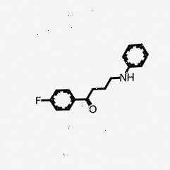 O=C(CCCNc1ccccc1)c1ccc(F)cc1